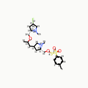 Cc1ccc(S(=O)(=O)SOC[C@@H]2CC(CC(C)OC[C@@H]3C[C@@H](F)CN3C)CN2C)cc1